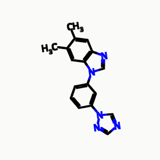 Cc1cc2ncn(-c3cccc(-n4cncn4)c3)c2cc1C